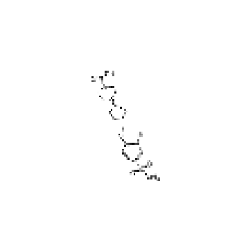 CS(=O)(=O)c1ccc(OC[C@H]2CC[C@H](N3CCN(C(=O)O)CC3)CC2)c(F)c1